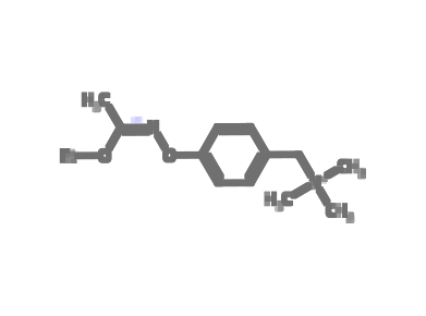 CCO/C(C)=N\Oc1ccc(C[N+](C)(C)C)cc1